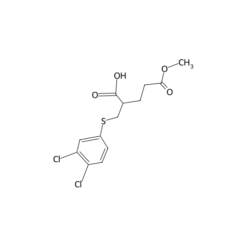 COC(=O)CCC(CSc1ccc(Cl)c(Cl)c1)C(=O)O